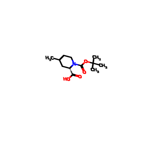 CC1CCN(C(=O)OC(C)(C)C)[C@H](C(=O)O)C1